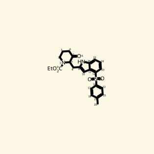 CCOC(=O)N1CCCC(=O)C1Cc1cc2c(S(=O)(=O)c3ccc(C)cc3)cccc2[nH]1